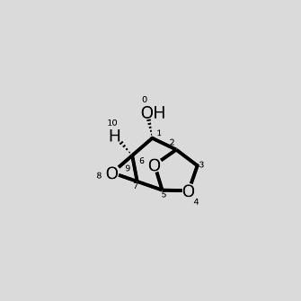 O[C@@H]1C2COC(O2)C2O[C@H]21